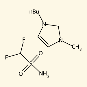 CCCCN1C=CN(C)C1.NS(=O)(=O)C(F)F